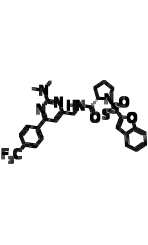 CN(C)c1nc(CNC(=O)[C@@H]2CCCN2S(=O)(=S)c2cc3ccccc3o2)cc(-c2ccc(C(F)(F)F)cc2)n1